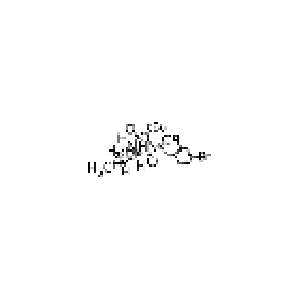 C[C@H]1[C@H]2[C@H]3C[C@@H]([C@@H]12)N(C(=O)OC(C)(C)C)[C@@H]3C(=O)N[C@H](C#N)Cc1ccc(Br)cc1F